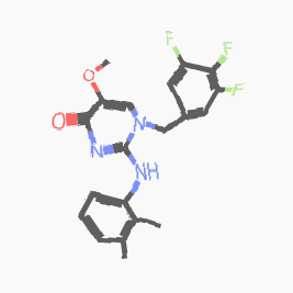 COc1cn(Cc2cc(F)c(F)c(F)c2)c(Nc2cccc(C)c2C)nc1=O